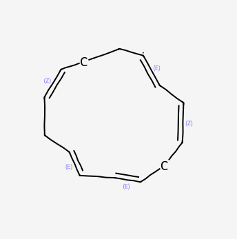 [C]1=C/C=C\C/C=C/C=C/C/C=C\CC/1